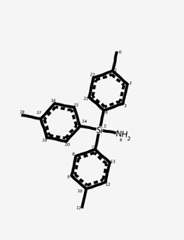 Cc1ccc([Si](N)(c2ccc(C)cc2)c2ccc(C)cc2)cc1